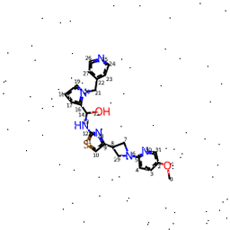 COc1ccc(N2CC(c3csc(NC(O)c4cccn4Cc4ccncc4)n3)C2)nc1